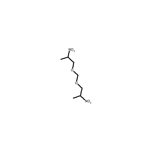 CC(COCOCC(C)[N+](=O)[O-])[N+](=O)[O-]